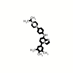 Cc1cc(-c2ccc(Nc3ccc(N4CCN(C(C)C)CC4)cc3)c3nccn23)cc(C)c1C